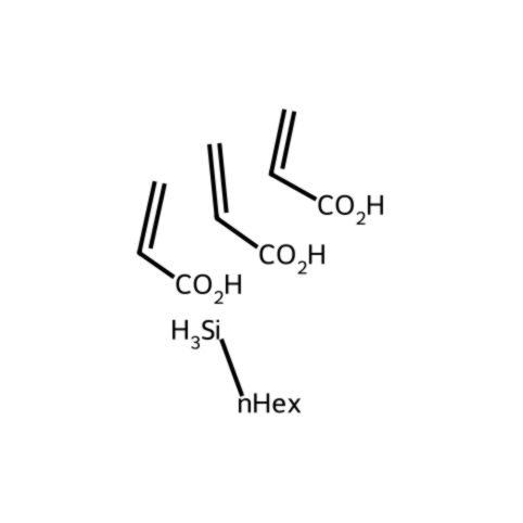 C=CC(=O)O.C=CC(=O)O.C=CC(=O)O.CCCCCC[SiH3]